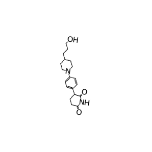 O=C1CCC(c2ccc(N3CCC(CCCO)CC3)cc2)C(=O)N1